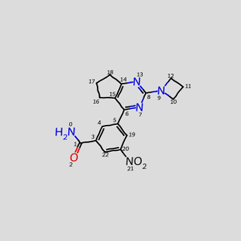 NC(=O)c1cc(-c2nc(N3CCC3)nc3c2CCC3)cc([N+](=O)[O-])c1